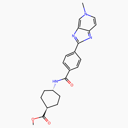 COC(=O)[C@H]1CC[C@H](NC(=O)c2ccc(-c3nc4ccn(C)cc-4n3)cc2)CC1